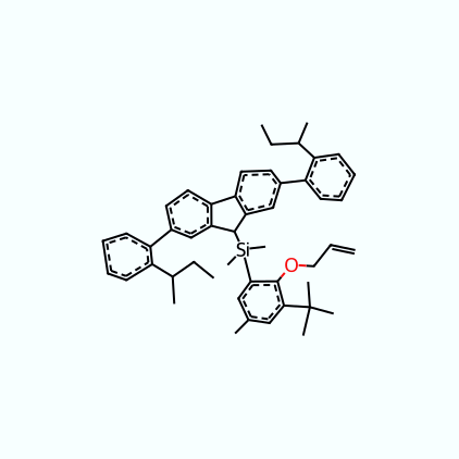 C=CCOc1c(C(C)(C)C)cc(C)cc1[Si](C)(C)C1c2cc(-c3ccccc3C(C)CC)ccc2-c2ccc(-c3ccccc3C(C)CC)cc21